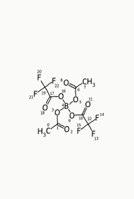 CC(=O)O[B-](OC(C)=O)(OC(=O)C(F)(F)F)OC(=O)C(F)(F)F